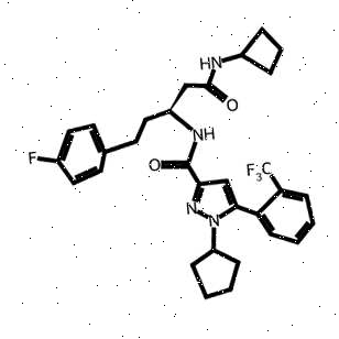 O=C(C[C@H](CCc1ccc(F)cc1)NC(=O)c1cc(-c2ccccc2C(F)(F)F)n(C2CCCC2)n1)NC1CCC1